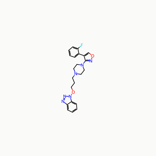 Fc1ccccc1-c1conc1N1CCN(CCCOn2nnc3ccccc32)CC1